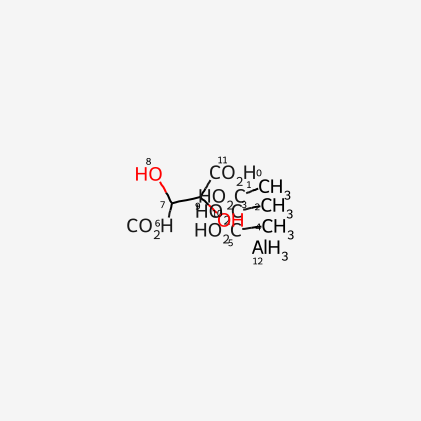 CC(=O)O.CC(=O)O.CC(=O)O.O=C(O)C(O)C(O)C(=O)O.[AlH3]